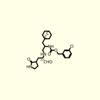 O=C[C@H](CC1CCNC1=O)NCC(CC12CCC(CC1)CC2)NC(=O)OCc1cccc(Cl)c1